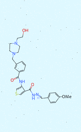 COc1ccc(/C=N/NC(=O)c2cscc2NC(=O)c2cccc(CN3CCN(CCO)CC3)c2)cc1